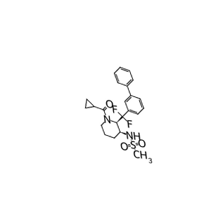 CS(=O)(=O)N[C@H]1CCCN(C(=O)C2CC2)[C@H]1C(F)(F)c1cccc(-c2ccccc2)c1